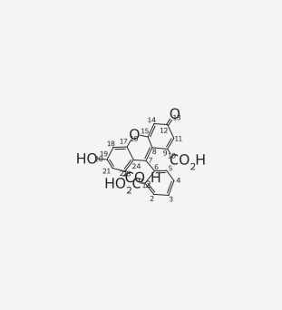 O=C(O)c1ccccc1-c1c2c(C(=O)O)cc(=O)cc-2oc2cc(O)cc(C(=O)O)c12